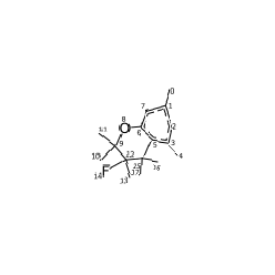 Cc1cc(C)c2c(c1)OC(C)(C)C(C)(F)C2(C)C